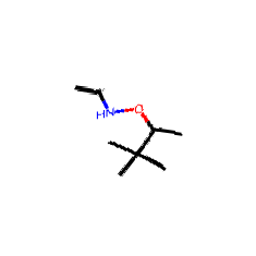 C[CH]NOC(C)C(C)(C)C